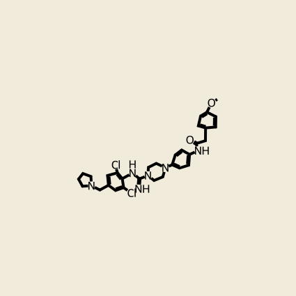 COc1ccc(CC(=O)Nc2ccc(N3CCN(C(=N)Nc4c(Cl)cc(CN5CCCC5)cc4Cl)CC3)cc2)cc1